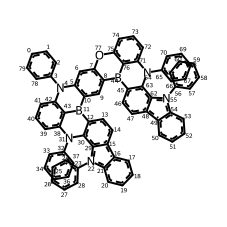 c1ccc(N2c3cc4c(cc3B3c5ccc6c7ccccc7n(-c7ccccc7)c6c5N(c5ccccc5)c5cccc2c53)B2c3ccc5c6ccccc6n(-c6ccccc6)c5c3N(c3ccccc3)c3cccc(c32)O4)cc1